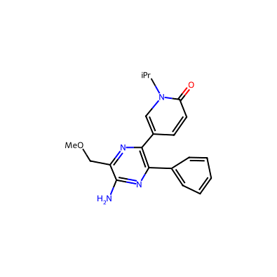 COCc1nc(-c2ccc(=O)n(C(C)C)c2)c(-c2ccccc2)nc1N